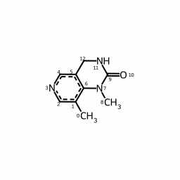 Cc1cncc2c1N(C)C(=O)NC2